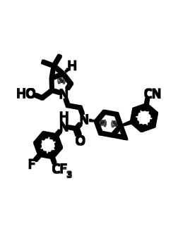 CC1(C)C2C(CO)N(CCN(C(=O)Nc3ccc(F)c(C(F)(F)F)c3)[C@@H]3CC[C@]4(c5cccc(C#N)c5)CC4C3)C[C@@H]21